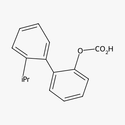 CC(C)c1ccccc1-c1ccccc1OC(=O)O